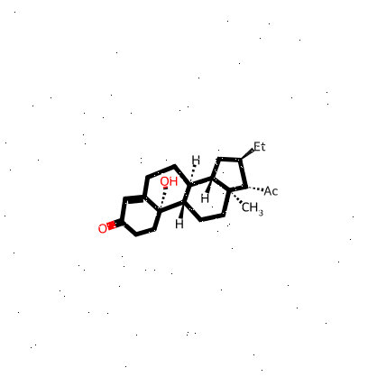 CC[C@@H]1C[C@H]2[C@@H]3CCC4=CC(=O)CC[C@]4(CO)[C@H]3CC[C@]2(C)[C@H]1C(C)=O